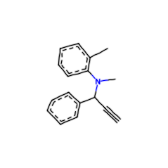 C#CC(c1ccccc1)N(C)c1ccccc1C